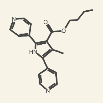 CCCCOC(=O)c1c(-c2ccncc2)[nH]c(-c2ccncc2)c1C